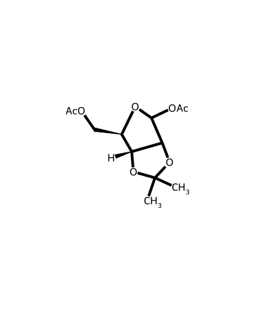 CC(=O)OC[C@H]1OC(OC(C)=O)C2OC(C)(C)O[C@@H]21